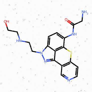 NCC(=O)Nc1ccc2c3c(nn2CCNCCO)-c2cnccc2Sc13